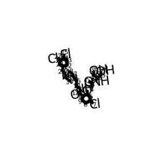 O=C(COc1cc(Cl)ccc1C(=O)NCCN1CCN(Cc2ccc(Cl)c(Cl)c2)CC1)NC(CO)CO